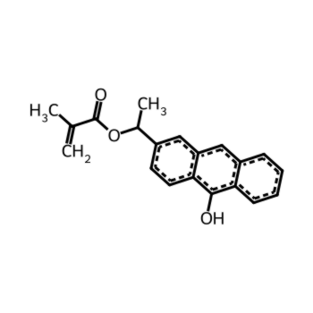 C=C(C)C(=O)OC(C)c1ccc2c(O)c3ccccc3cc2c1